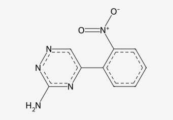 Nc1nncc(-c2ccccc2[N+](=O)[O-])n1